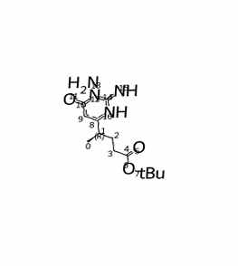 C[C@H](CCC(=O)OC(C)(C)C)c1cc(=O)n(N)c(=N)[nH]1